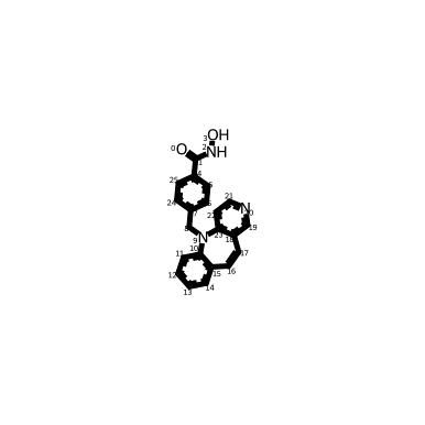 O=C(NO)c1ccc(CN2c3ccccc3C=Cc3cnccc32)cc1